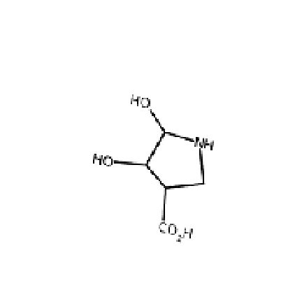 O=C(O)C1CNC(O)C1O